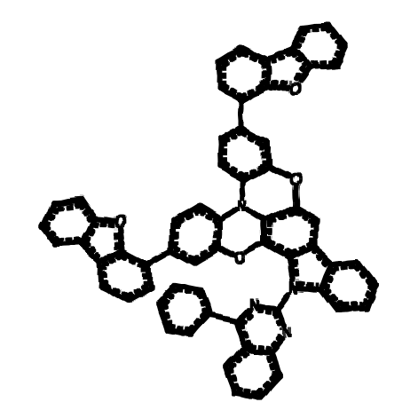 c1ccc(-c2nc(-n3c4ccccc4c4cc5c6c(c43)Oc3cc(-c4cccc7c4oc4ccccc47)ccc3N6c3ccc(-c4cccc6c4oc4ccccc46)cc3O5)nc3ccccc23)cc1